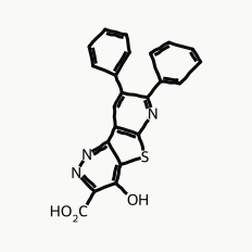 O=C(O)c1nnc2c(sc3nc(-c4ccccc4)c(-c4ccccc4)cc32)c1O